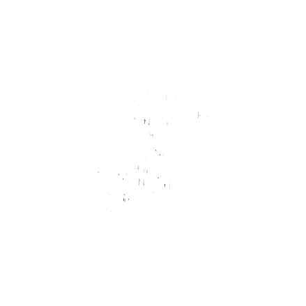 Cc1cc(C)nc(N2C[C@@H]3CCN(C(=O)c4ccc(F)cc4-c4ncccc4F)C[C@@H]32)n1